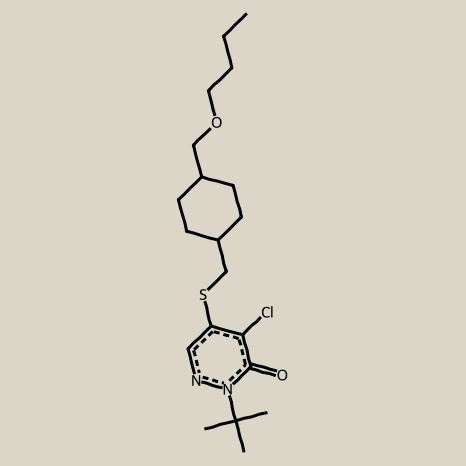 CCCCOCC1CCC(CSc2cnn(C(C)(C)C)c(=O)c2Cl)CC1